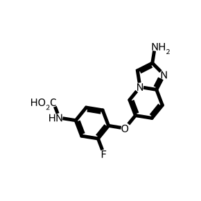 Nc1cn2cc(Oc3ccc(NC(=O)O)cc3F)ccc2n1